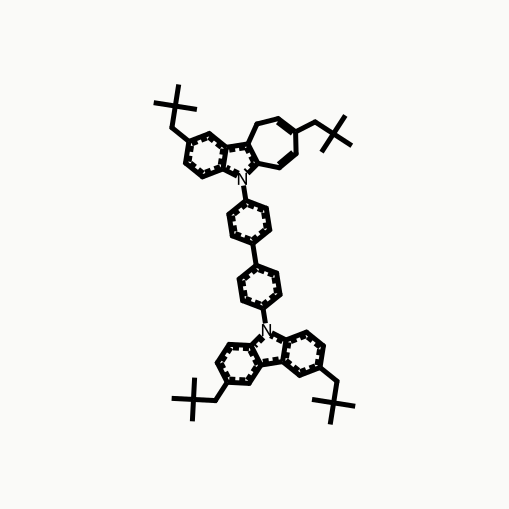 CC(C)(C)CC1=CCc2c(n(-c3ccc(-c4ccc(-n5c6ccc(CC(C)(C)C)cc6c6cc(CC(C)(C)C)ccc65)cc4)cc3)c3ccc(CC(C)(C)C)cc23)C=C1